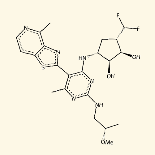 CO[C@@H](C)CNc1nc(C)c(-c2nc3c(C)nccc3s2)c(N[C@@H]2C[C@H](C(F)F)[C@@H](O)[C@H]2O)n1